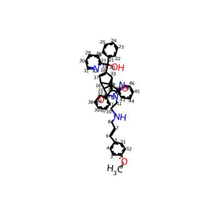 COc1ccc(C=CCNCCN2C(=O)C3C4C=C(C(O)(c5ccccc5)c5ccccn5)C(C4=C(c4ccccc4)c4ccccn4)C3C2=O)cc1